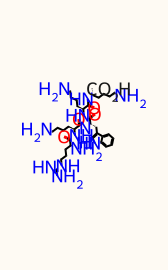 N=C(N)NCCC[C@H](N)C(=O)N[C@@H](CCCCN)C(=O)N[C@@H](Cc1c[nH]c2ccccc12)C(=O)N[C@@H](CCCCN)C(=O)N[C@@H](CCCCN)C(=O)O